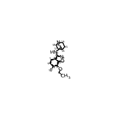 CCOc1c(F)ccc2c(NC3CN4CCC3CC4)noc12